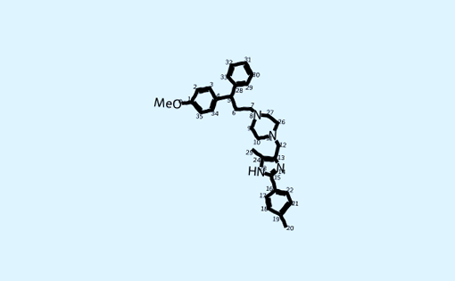 COc1ccc(C(CCN2CCN(Cc3nc(-c4ccc(C)cc4)[nH]c3C)CC2)c2ccccc2)cc1